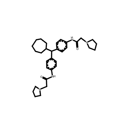 O=C(CN1CCCC1)Nc1ccc(C(c2ccc(NC(=O)CN3CCCC3)cc2)C2CCCCCC2)cc1